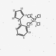 [Cl][Zr]([Cl])([Cl])[Cl].[c]1ccc(C2C=CC=C2)cc1